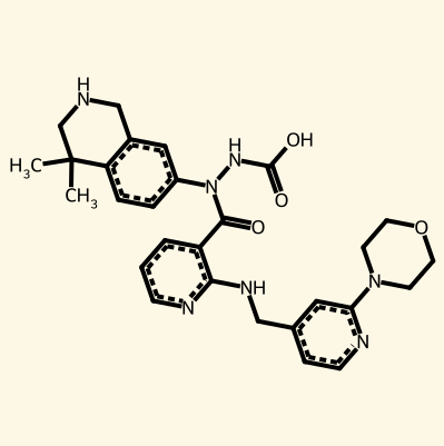 CC1(C)CNCc2cc(N(NC(=O)O)C(=O)c3cccnc3NCc3ccnc(N4CCOCC4)c3)ccc21